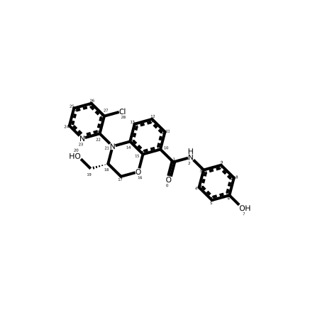 O=C(Nc1ccc(O)cc1)c1cccc2c1OC[C@H](CO)N2c1ncccc1Cl